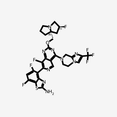 Nc1nc2c(-c3ncc4c(N5CCn6cc(C(F)(F)F)nc6C5)nc(OC[C@]56CCCN5C[C@@H](F)C6)nc4c3F)c(F)cc(F)c2s1